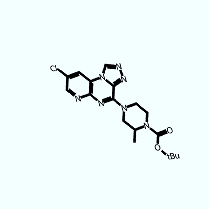 CC1CN(c2nc3ncc(Cl)cc3n3cnnc23)CCN1C(=O)OC(C)(C)C